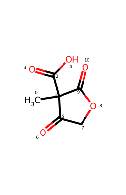 CC1(C(=O)O)C(=O)COC1=O